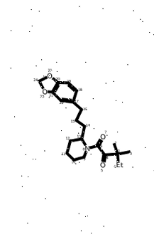 CCC(C)(C)C(=O)C(=O)N1CCCCC1CCCc1ccc2c(c1)OCO2